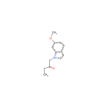 CCC(=O)Cn1ccc2ccc(OC)cc21